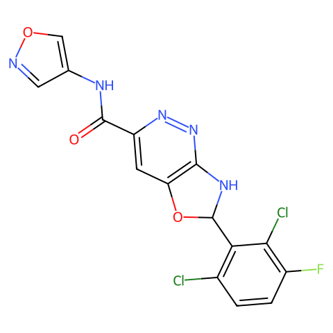 O=C(Nc1cnoc1)c1cc2c(nn1)NC(c1c(Cl)ccc(F)c1Cl)O2